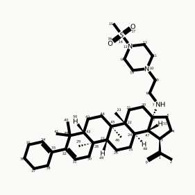 C=C(C)[C@@H]1CC[C@]2(NCCN3CCN(S(C)(=O)=O)CC3)CC[C@]3(C)[C@H](CC[C@@H]4[C@@]5(C)CC=C(C6=CCCCC6)C(C)(C)[C@@H]5CC[C@]43C)[C@@H]12